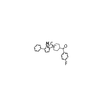 C[N+]1(c2ccc(-c3ccccc3)[nH]2)CCC(C(=O)c2ccc(F)cc2)CC1